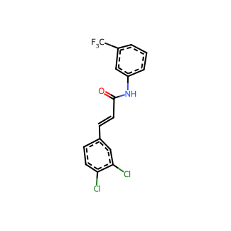 O=C(C=Cc1ccc(Cl)c(Cl)c1)Nc1cccc(C(F)(F)F)c1